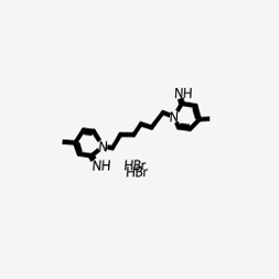 Br.Br.Cc1ccn(CCCCCCn2ccc(C)cc2=N)c(=N)c1